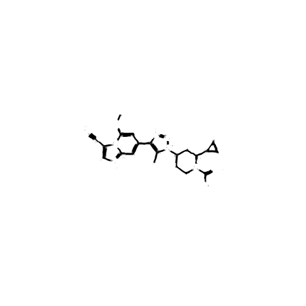 COc1cc(-c2nnn(C3CCN(C(=O)O)C(C4CC4)C3)c2C)cc2ncc(C#N)n12